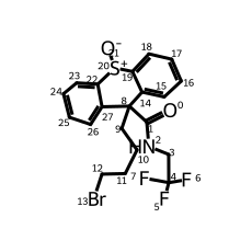 O=C(NCC(F)(F)F)C1(CCCCBr)c2ccccc2[S+]([O-])c2ccccc21